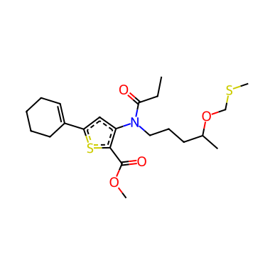 CCC(=O)N(CCCC(C)OCSC)c1cc(C2=CCCCC2)sc1C(=O)OC